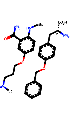 CCCCNc1ccc(OCCCN(CC)CC)cc1C(N)=O.N[C@H](Cc1ccc(OCc2ccccc2)cc1)C(=O)O